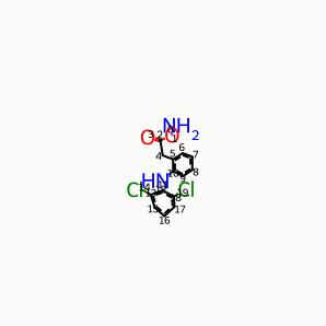 NOC(=O)Cc1ccccc1Nc1c(Cl)cccc1Cl